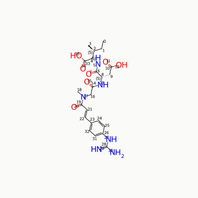 CC[C@H](C)[C@H](NC(=O)[C@H](CC(=O)O)NC(=O)CN(C)C(=O)C=Cc1ccc(NC(=N)N)cc1)C(=O)O